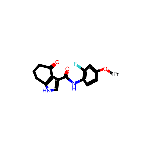 CC(C)Oc1ccc(NC(=O)c2c[nH]c3c2C(=O)CCC3)c(F)c1